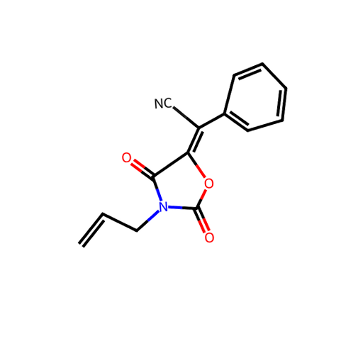 C=CCN1C(=O)OC(=C(C#N)c2ccccc2)C1=O